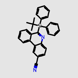 CC(C)(C)[Si](c1ccccc1)(c1ccccc1)c1nc2ccc(C#N)cc2c2ccccc12